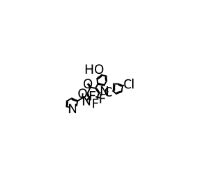 O=C(c1cnc(-c2cccnc2)o1)c1c(C(F)(F)F)n(Cc2ccc(Cl)cc2)c2ccc(O)cc12